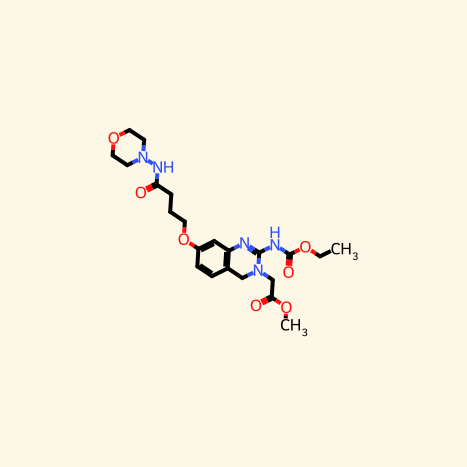 CCOC(=O)NC1=Nc2cc(OCCCC(=O)NN3CCOCC3)ccc2CN1CC(=O)OC